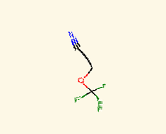 N#CCOC(F)(F)F